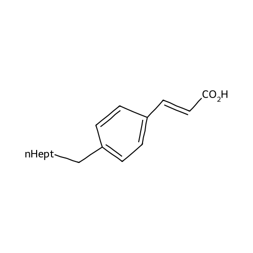 CCCCCCCCc1ccc(C=CC(=O)O)cc1